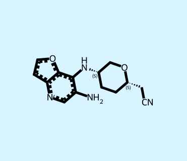 N#CC[C@@H]1CC[C@H](Nc2c(N)cnc3ccoc23)CO1